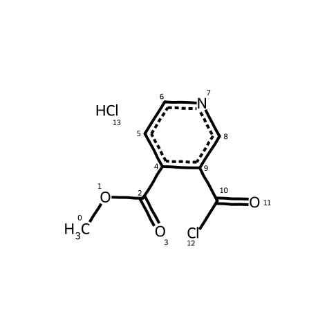 COC(=O)c1ccncc1C(=O)Cl.Cl